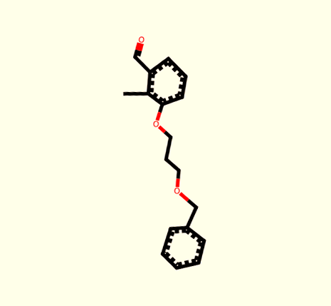 Cc1c(C=O)cccc1OCCCOCc1ccccc1